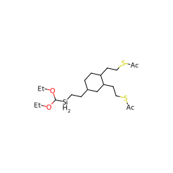 CCOC(OCC)[SiH2]CCC1CCC(CCSC(C)=O)C(CCSC(C)=O)C1